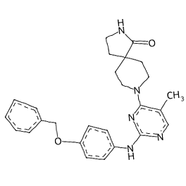 Cc1cnc(Nc2ccc(OCc3ccccc3)cc2)nc1N1CCC2(CCNC2=O)CC1